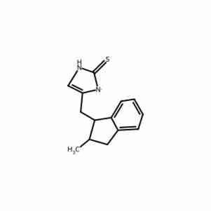 CC1Cc2ccccc2C1CC1=CNC(=S)[N]1